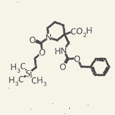 C[Si](C)(C)CCOC(=O)N1CCCC(CNC(=O)OCc2ccccc2)(C(=O)O)C1